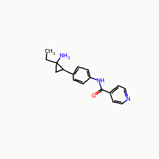 CCC1(N)CC1c1ccc(NC(=O)c2ccncc2)cc1